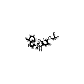 COc1nc(OCC(F)F)c(F)cc1NS(=O)(=O)c1cnc2n1CCCC2C